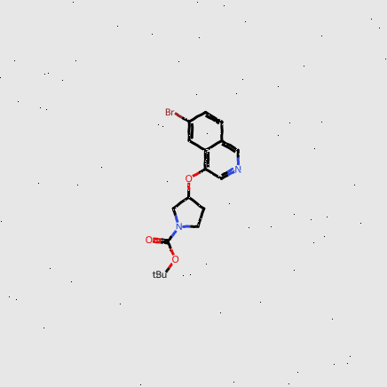 CC(C)(C)OC(=O)N1CCC(Oc2cncc3ccc(Br)cc23)C1